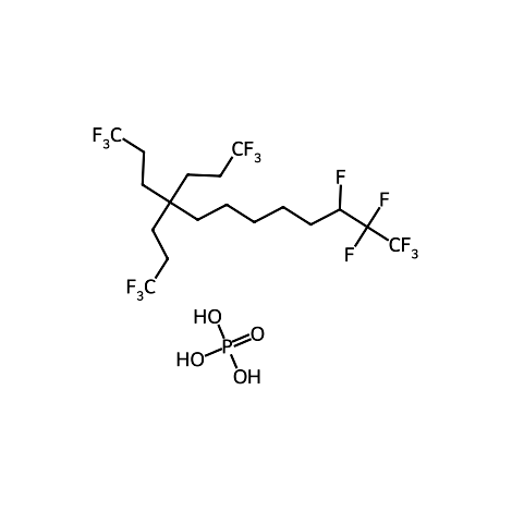 FC(CCCCCC(CCC(F)(F)F)(CCC(F)(F)F)CCC(F)(F)F)C(F)(F)C(F)(F)F.O=P(O)(O)O